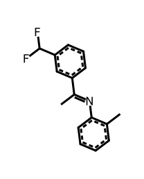 C/C(=N\c1ccccc1C)c1cccc(C(F)F)c1